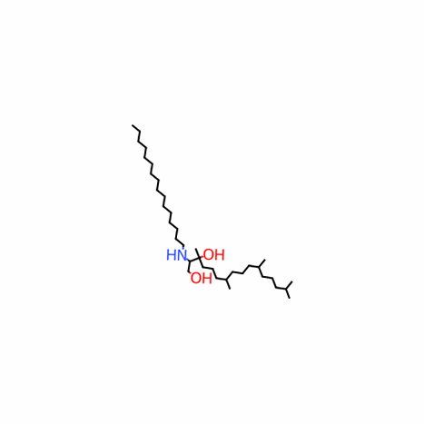 CCCCCCCCCCCCCCCCNC(CO)C(C)(O)CCCC(C)CCCC(C)CCCC(C)C